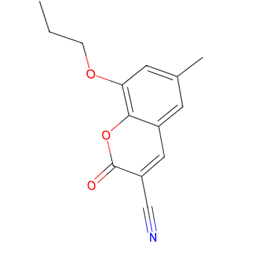 CCCOc1cc(C)cc2cc(C#N)c(=O)oc12